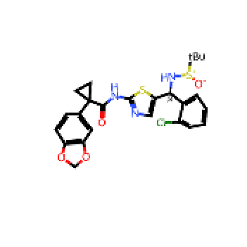 CC(C)(C)[S+]([O-])N[C@H](c1cnc(NC(=O)C2(c3ccc4c(c3)OCO4)CC2)s1)c1ccccc1Cl